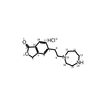 Cl.O=C1OCc2cc(CCN3CCCNCC3)ccc21